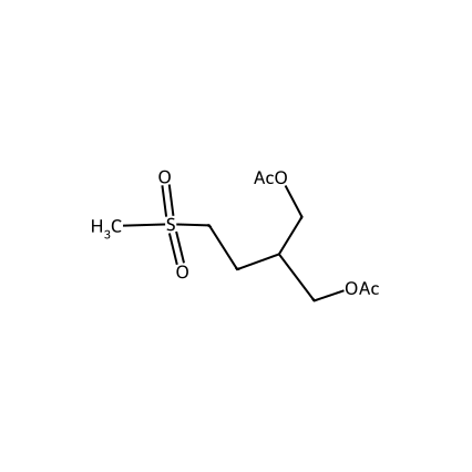 CC(=O)OCC(CCS(C)(=O)=O)COC(C)=O